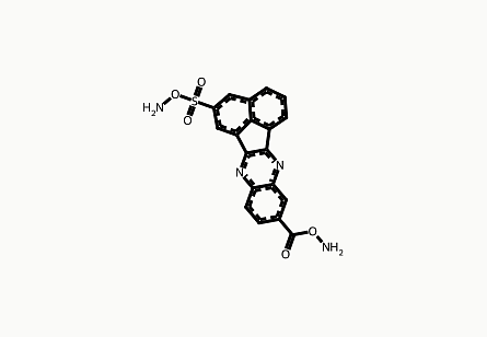 NOC(=O)c1ccc2nc3c(nc2c1)-c1cccc2cc(S(=O)(=O)ON)cc-3c12